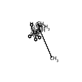 CCCCCCCCCCCCCCCCCCCCCCC(=O)N[C@@H](COC1OC(COCc2ccccc2)C(OCc2ccccc2)C(OCc2ccccc2)C1OCc1ccccc1)[C@@H]1OC(C)(C)O[C@@H]1CC